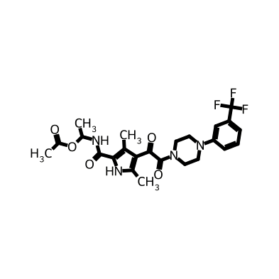 CC(=O)OC(C)NC(=O)c1[nH]c(C)c(C(=O)C(=O)N2CCN(c3cccc(C(F)(F)F)c3)CC2)c1C